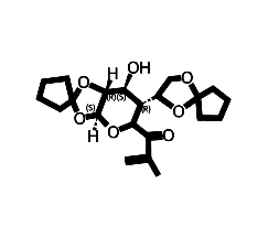 C=C(C)C(=O)C1O[C@H]2OC3(CCCC3)O[C@@H]2[C@@H](O)[C@@H]1C1COC2(CCCC2)O1